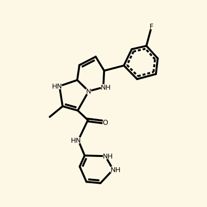 CC1=C(C(=O)NC2=CC=CNN2)N2NC(c3cccc(F)c3)C=CC2N1